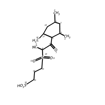 CC1CC(C)C(C(=O)C(C#N)S(=O)(=O)CCCS(=O)(=O)O)C(C)C1